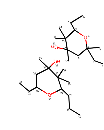 CCC1OC(C)(CC)CC(C)(O)C1(C)C.CCCC1OC(CC)CC(C)(O)C1(C)C